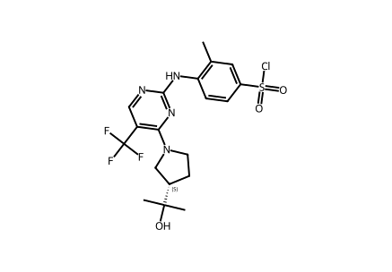 Cc1cc(S(=O)(=O)Cl)ccc1Nc1ncc(C(F)(F)F)c(N2CC[C@H](C(C)(C)O)C2)n1